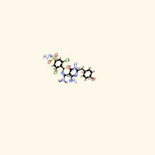 CN(C)/C(=N/Cc1c(Cl)cc(S(N)(=O)=O)cc1Cl)c1c(N)nc(Cc2ccc(Br)cc2)[nH]c1=O